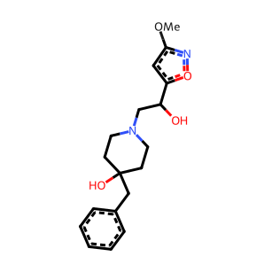 COc1cc(C(O)CN2CCC(O)(Cc3ccccc3)CC2)on1